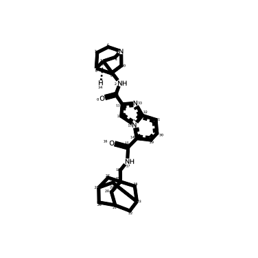 O=C(N[C@@H]1CN2CCC1CC2)c1cn2c(C(=O)NCC34CC5CC(CC(C5)C3)C4)cccc2n1